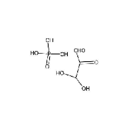 O=CC(=O)C(O)O.O=P(O)(O)O